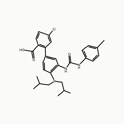 Cc1ccc(NC(=O)Nc2cc(-c3cc(Cl)ccc3C(=O)O)ccc2N(CC(C)C)CC(C)C)cc1